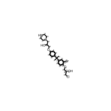 CC(C)(c1ccc(OCC(O)CN2CCNCC2)cc1)c1ccc(OC[C@@H](O)CCl)c(Br)c1